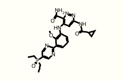 CCP(=O)(CC)c1cnc(-c2cccc(Nc3cc(NC(=O)C4CC4)nnc3C(N)=O)c2OC)nc1